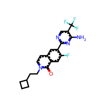 Nc1nc(-c2cc3ccn(CCC4CCC4)c(=O)c3cc2F)ncc1C(F)(F)F